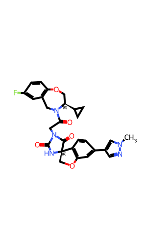 Cn1cc(-c2ccc3c(c2)OC[C@]32NC(=O)N(CC(=O)N3Cc4cc(F)ccc4OC[C@H]3C3CC3)C2=O)cn1